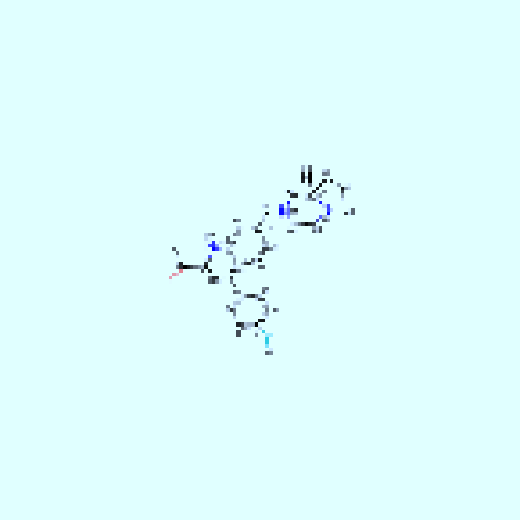 CC(=O)c1cc(-c2ccc(F)cc2)c2ccc(CN3CCN4CCC[C@@H]4C3)cc2n1